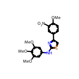 COc1ccc(-c2csc(Nc3cc(OC)c(OC)c(OC)c3)n2)cc1[N+](=O)[O-]